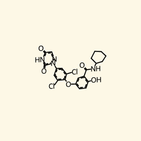 O=C(NC1CCCCC1)c1cc(Oc2c(Cl)cc(-n3ncc(=O)[nH]c3=O)cc2Cl)ccc1O